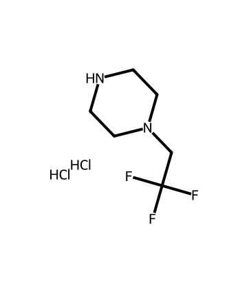 Cl.Cl.FC(F)(F)CN1CCNCC1